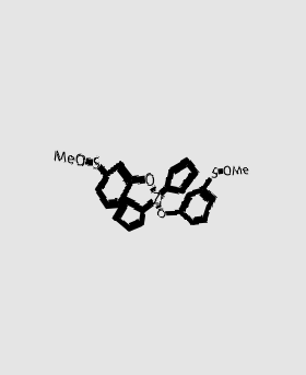 COSc1cccc([O][Zr]([O]c2cccc(SOC)c2)([CH]2C=CC=C2)[CH]2C=CC=C2)c1